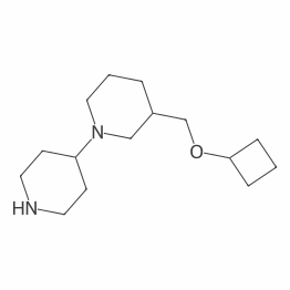 C1CC(OCC2CCCN(C3CCNCC3)C2)C1